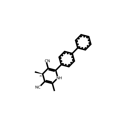 CC1=C(C#N)[C@@H](C)C(C#N)=C(c2ccc(-c3ccccc3)cc2)N1